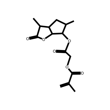 C=C(C)C(=O)OCC(=O)OC1C(C)CC2C(C)C(=O)OC21